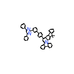 CC1(C)c2ccccc2-c2cc3c(-c4ccc(-c5cccc(-c6nc(-c7ccccc7)cc(-c7ccccc7)n6)c5)cc4)cc(-c4ccccc4-c4ccccc4)nc3cc21